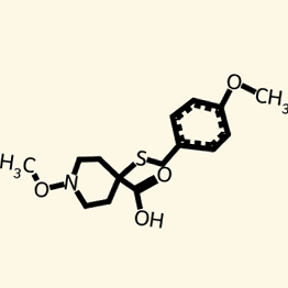 COc1ccc(CSC2(C(=O)O)CCN(OC)CC2)cc1